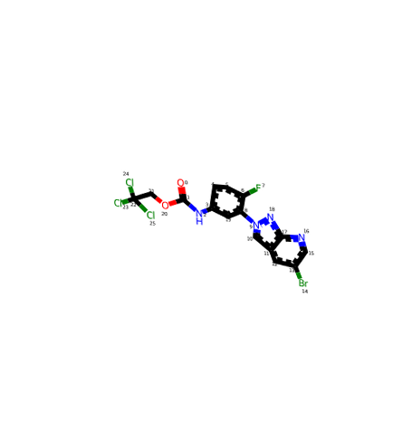 O=C(Nc1ccc(F)c(-n2cc3cc(Br)cnc3n2)c1)OCC(Cl)(Cl)Cl